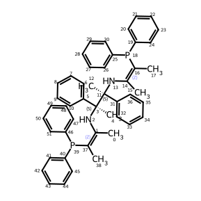 C/C(N[C@@](C)(c1ccccc1)[C@@](C)(N/C(C)=C(/C)P(c1ccccc1)c1ccccc1)c1ccccc1)=C(\C)P(c1ccccc1)c1ccccc1